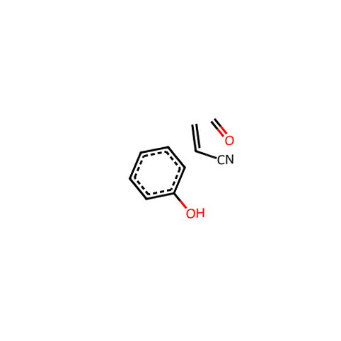 C=CC#N.C=O.Oc1ccccc1